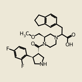 COC[C@H]1CN(C(Cc2ccc3c(c2)CCC3)C(=O)O)CCN1C(=O)[C@@H]1CNC[C@H]1c1ccc(F)cc1F